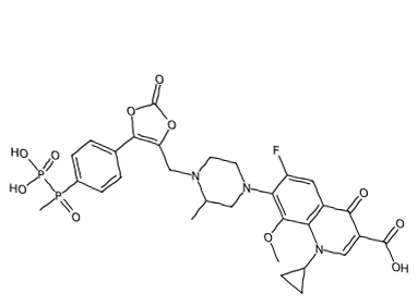 COc1c(N2CCN(Cc3oc(=O)oc3-c3ccc(P(C)(=O)P(=O)(O)O)cc3)C(C)C2)c(F)cc2c(=O)c(C(=O)O)cn(C3CC3)c12